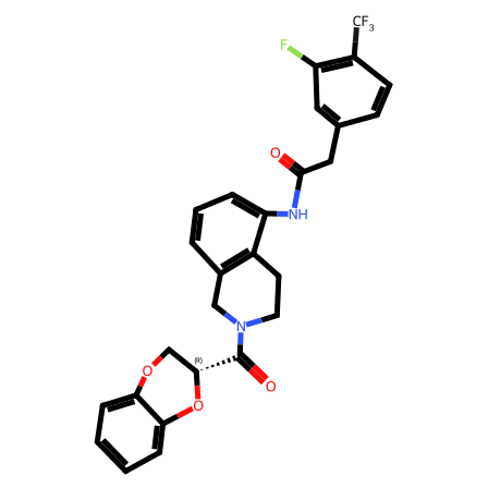 O=C(Cc1ccc(C(F)(F)F)c(F)c1)Nc1cccc2c1CCN(C(=O)[C@H]1COc3ccccc3O1)C2